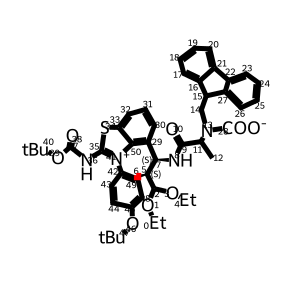 CCOC(OCC)[C@@H](C)[C@H](NC(=O)C(C)N(CC1c2ccccc2-c2ccccc21)C(=O)[O-])c1cccc2sc(NC(=O)OC(C)(C)C)[n+](-c3ccc(OC(C)(C)C)cc3)c12